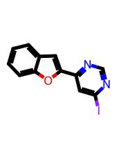 Ic1cc(-c2cc3ccccc3o2)ncn1